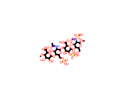 COC1OC(CO)C(OC2OC(C(=O)O)C(OC3OC(COS(=O)(=O)O)C(OC4OC(C(=O)O)C(OC)C(O)C4O)C(O)C3NC(C)=O)C(O)C2OS(=O)(=O)O)C(OOO)C1NS(=O)(=O)O